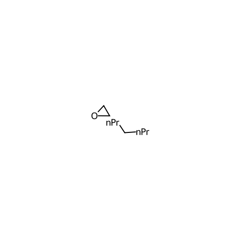 C1CO1.CCCCCCC